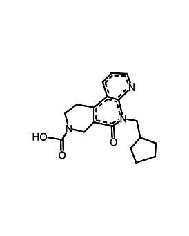 O=C(O)N1CCc2c(c(=O)n(CC3CCCC3)c3ncccc23)C1